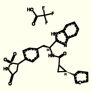 O=C(O)C(F)(F)F.O=C1CC(c2ccc(C[C@H](NC(=O)C3C[C@H]3c3ccccc3)c3nc4ccccc4[nH]3)cc2)S(=O)(=O)N1